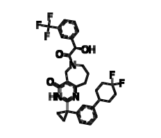 O=C([C@H](O)c1cccc(C(F)(F)F)c1)N1CCCc2nc(C3(c4cccc(C5CCC(F)(F)CC5)c4)CC3)[nH]c(=O)c2C1